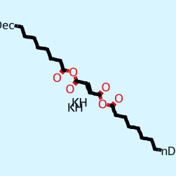 CCCCCCCCCCCCCCCCCC(=O)OC(=O)/C=C/C(=O)OC(=O)CCCCCCCCCCCCCCCCC.[KH].[KH]